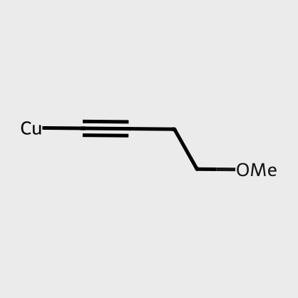 COCCC#[C][Cu]